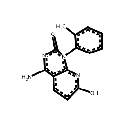 Cc1ccccc1-n1c(=O)nc(N)c2ccc(O)nc21